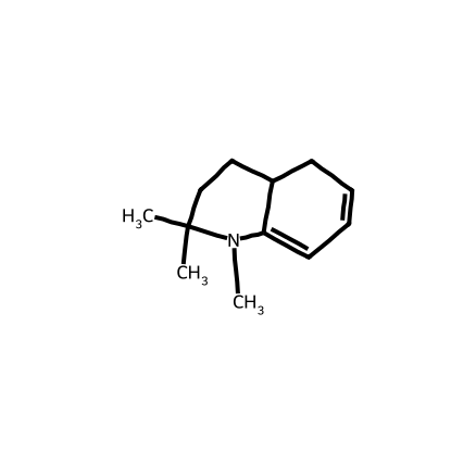 CN1C2=CC=CCC2CCC1(C)C